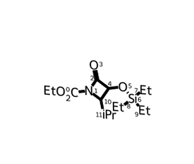 CCOC(=O)N1C(=O)C(O[Si](CC)(CC)CC)C1C(C)C